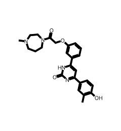 Cc1cc(-c2cc(-c3cccc(OCC(=O)N4CCCN(C)CC4)c3)[nH]c(=O)n2)ccc1O